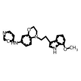 COc1cccc2c(CCN3CCOc4cc(Nc5ccncc5)ccc43)c[nH]c12